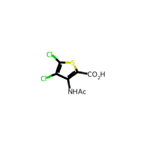 CC(=O)Nc1c(C(=O)O)sc(Cl)c1Cl